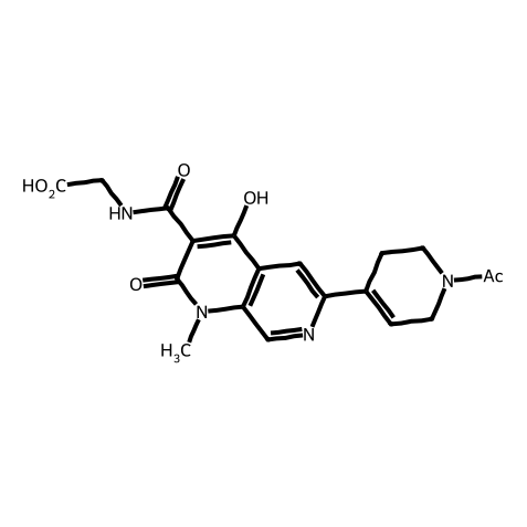 CC(=O)N1CC=C(c2cc3c(O)c(C(=O)NCC(=O)O)c(=O)n(C)c3cn2)CC1